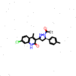 CCC(=O)N1N=C(c2c(C)c3ccc(Cl)cc3[nH]c2=O)C[C@@H]1c1ccc(C)cc1